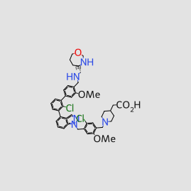 COc1cc(-c2cccc(-c3cccc4c3cnn4Cc3cc(OC)c(CN4CCC(CC(=O)O)CC4)cc3Cl)c2Cl)ccc1CNC[C@@H]1CCCOCN1